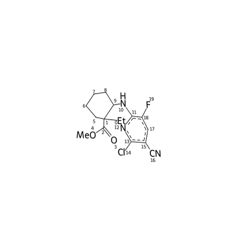 CCC1(C(=O)OC)CCCCC1Nc1nc(Cl)c(C#N)cc1F